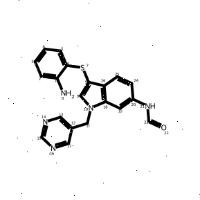 Nc1ccccc1Sc1cn(Cc2cncnc2)c2cc(NC=O)ccc12